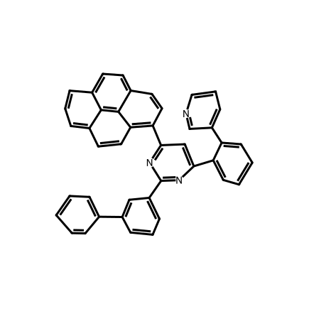 c1ccc(-c2cccc(-c3nc(-c4ccccc4-c4cccnc4)cc(-c4ccc5ccc6cccc7ccc4c5c67)n3)c2)cc1